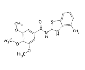 COc1cc(C(=O)NC2Nc3c(C)cccc3S2)cc(OC)c1OC